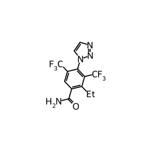 CCc1c(C(N)=O)cc(C(F)(F)F)c(-n2ccnn2)c1C(F)(F)F